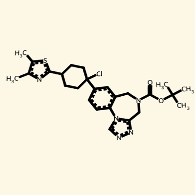 Cc1nc(C2CCC(Cl)(c3ccc4c(c3)CN(C(=O)OC(C)(C)C)Cc3nncn3-4)CC2)sc1C